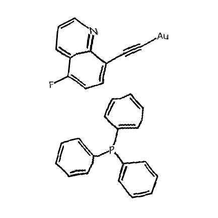 Fc1ccc(C#[C][Au])c2ncccc12.c1ccc(P(c2ccccc2)c2ccccc2)cc1